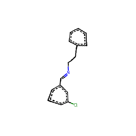 Clc1cccc(C=NCCc2ccccc2)c1